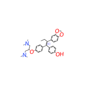 CC/C(=C(/c1ccc(O)cc1)c1ccc(OC(CN(C)C)CN(C)C)cc1)c1ccc2c(c1)OCO2